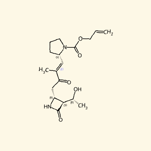 C=CCOC(=O)N1CCC[C@H]1/C=C(\C)C(=O)C[C@H]1NC(=O)[C@@H]1[C@@H](C)O